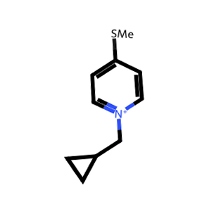 CSc1cc[n+](CC2CC2)cc1